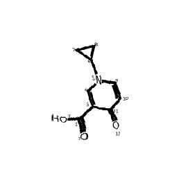 O=C(O)c1cn(C2CC2)ccc1=O